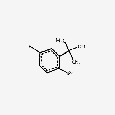 CC(C)c1ccc(F)cc1C(C)(C)O